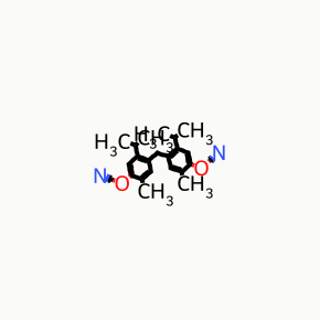 Cc1cc(Cc2cc(C)c(OC#N)cc2C(C)C)c(C(C)C)cc1OC#N